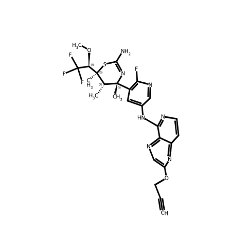 C#CCOc1cnc2c(Nc3cnc(F)c([C@@]4(C)N=C(N)S[C@](C)([C@H](OC)C(F)(F)F)[C@H]4C)c3)nccc2n1